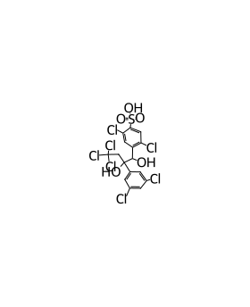 O=S(=O)(O)c1cc(Cl)c(C(O)C(O)(CC(Cl)(Cl)Cl)c2cc(Cl)cc(Cl)c2)cc1Cl